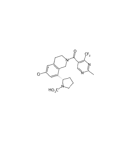 Cc1ncc(C(=O)N2CCc3cc(Cl)cc([C@@H]4CCCN4C(=O)O)c3C2)c(C(F)(F)F)n1